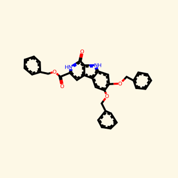 O=C(OCc1ccccc1)c1cc2c([nH]c3cc(OCc4ccccc4)c(OCc4ccccc4)cc32)c(=O)[nH]1